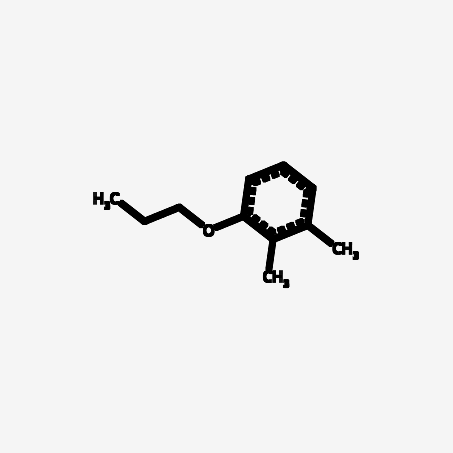 CCCOc1cccc(C)c1C